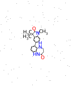 CN1C(=O)C(C)(C)c2cc(-c3cccc4c3NCCC(=O)N4)ccc21